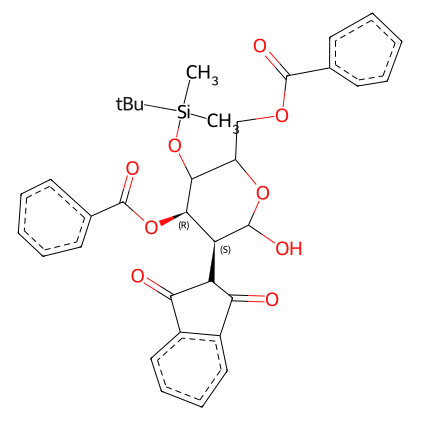 CC(C)(C)[Si](C)(C)OC1C(COC(=O)c2ccccc2)OC(O)[C@@H](C2C(=O)c3ccccc3C2=O)[C@H]1OC(=O)c1ccccc1